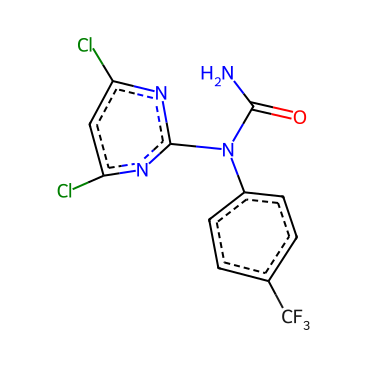 NC(=O)N(c1ccc(C(F)(F)F)cc1)c1nc(Cl)cc(Cl)n1